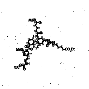 CCOC(=O)CCCCCNC(=O)Nc1cc(C)c(-c2cccc(S(=O)(=O)c3cc(C=NNC(=O)OC(C)(C)C)sc3SC)c2)c(NC(=O)CCCC(=O)OC)c1